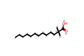 CC[CH]CCCCCCCCC(C)(C)C(=O)O